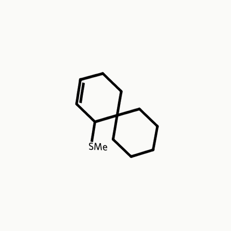 CSC1C=CCCC12CCCCC2